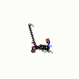 C=C(C)[C@@H]1CC[C@]2(NCCN3CCS(=O)(=O)CC3)CC[C@]3(C)[C@H](CC[C@@H]4[C@@]5(C)CC=C(C6=CC[C@@](COc7ncccc7C#N)(C(=O)OCOC(=O)CCCCCCCCCCCCCCCCC)CC6)C(C)(C)[C@@H]5CC[C@]43C)[C@@H]12